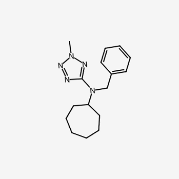 Cn1nnc(N(Cc2ccccc2)C2CCCCCC2)n1